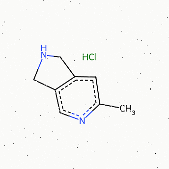 Cc1cc2c(cn1)CNC2.Cl